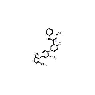 Cc1cc(-c2c(C)noc2C)ccc1-n1ccc(=O)c(/C(=C/C=N)Nc2ccccc2)n1